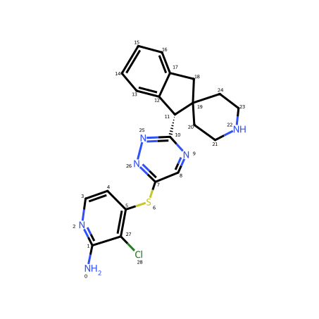 Nc1nccc(Sc2cnc([C@@H]3c4ccccc4CC34CCNCC4)nn2)c1Cl